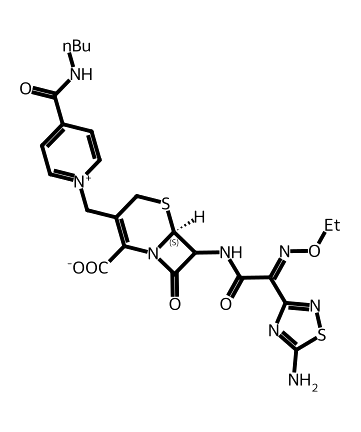 CCCCNC(=O)c1cc[n+](CC2=C(C(=O)[O-])N3C(=O)C(NC(=O)C(=NOCC)c4nsc(N)n4)[C@@H]3SC2)cc1